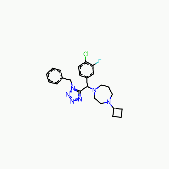 Fc1cc(C(c2nnnn2Cc2ccccc2)N2CCCN(C3CCC3)CC2)ccc1Cl